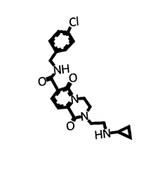 O=C(NCc1ccc(Cl)cc1)c1ccc2n(c1=O)CCN(CCNC1CC1)C2=O